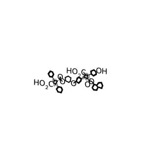 O=C(O)[C@H]1[C@@H](c2ccc(O)cc2)[C@H](C(=O)Oc2cccc3ccccc23)[C@@H]1c1ccc(OC2CCCC(OC(=O)[C@H]3[C@H](c4ccccc4)[C@H](C(=O)O)[C@H]3c3ccccc3)C2)cc1